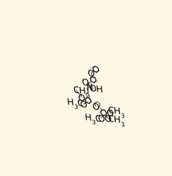 CCCOc1c(CC=CN(O)C(=O)c2cccc(Oc3ccccc3)c2)cc([C@@H]2CC[C@@H](c3cc(OC)c(OC)c(OC)c3)O2)cc1OC